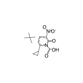 CC(C)(C)C.O=C(O)n1c(C2CC2)ccc([N+](=O)[O-])c1=O